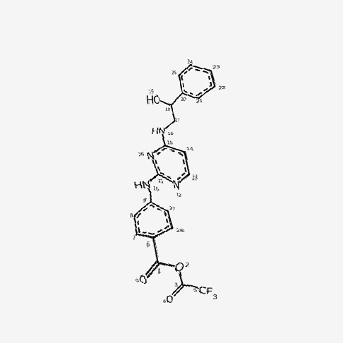 O=C(OC(=O)C(F)(F)F)c1ccc(Nc2nccc(NCC(O)c3ccccc3)n2)cc1